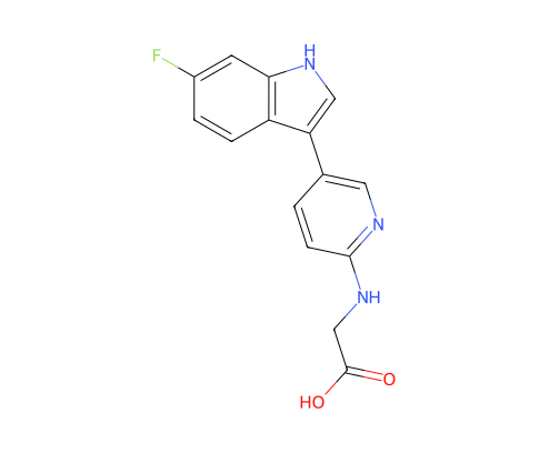 O=C(O)CNc1ccc(-c2c[nH]c3cc(F)ccc23)cn1